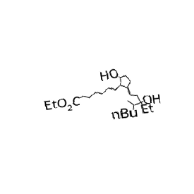 CCCCC(C)C(O)(CC)CC=C1CC[C@@H](O)[C@@H]1CCCCCCC(=O)OCC